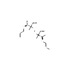 CCCN=C(C)C(C)(CC)OOC(C)(CC)C(C)=NCCC